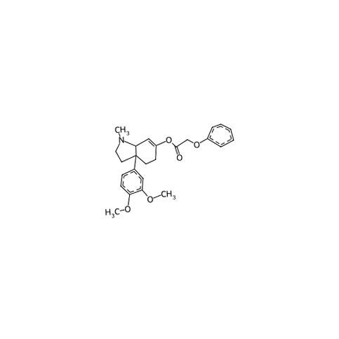 COc1ccc(C23CCC(OC(=O)COc4ccccc4)=CC2N(C)CC3)cc1OC